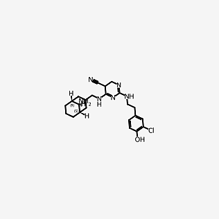 N#CC1CN=C(NCCc2ccc(O)c(Cl)c2)N=C1NCC1C[C@H]2CCC[C@@H](C1)[C@@H]2N